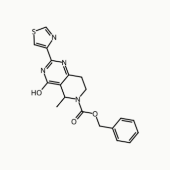 CC1c2c(O)nc(-c3cscn3)nc2CCN1C(=O)OCc1ccccc1